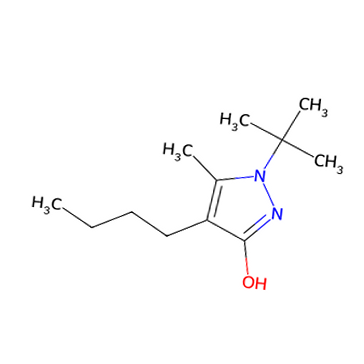 CCCCc1c(O)nn(C(C)(C)C)c1C